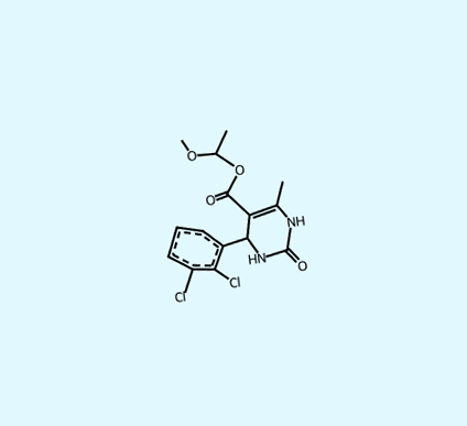 COC(C)OC(=O)C1=C(C)NC(=O)NC1c1cccc(Cl)c1Cl